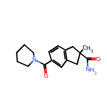 CC1(C(N)=O)Cc2ccc(C(=O)N3CCCCC3)cc2C1